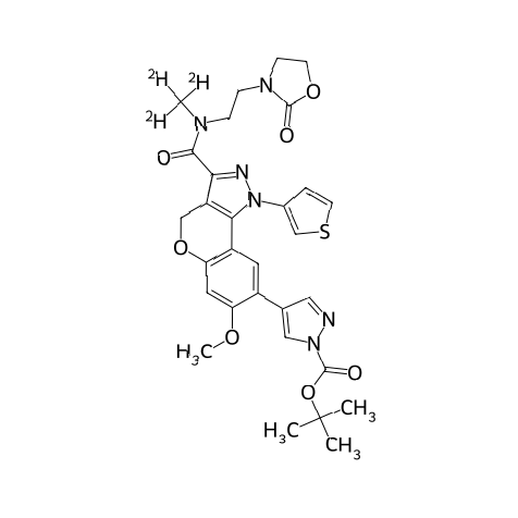 [2H]C([2H])([2H])N(CCN1CCOC1=O)C(=O)c1nn(-c2ccsc2)c2c1COc1cc(OC)c(-c3cnn(C(=O)OC(C)(C)C)c3)cc1-2